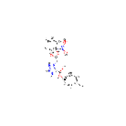 Cc1ccc(OC(=O)c2nnnn2CC(=O)OC2([N+](=O)[O-])C=CC=CC2)cc1